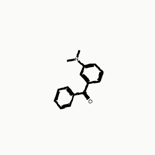 CN(C)c1cccc(C(=O)c2ccccc2)c1